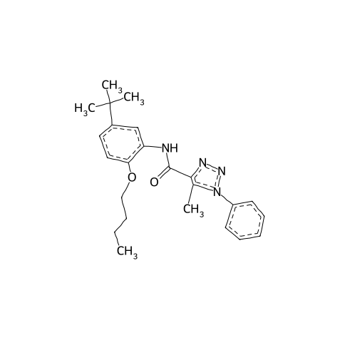 CCCCOc1ccc(C(C)(C)C)cc1NC(=O)c1nnn(-c2ccccc2)c1C